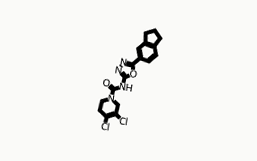 O=C(Nc1nnc(-c2ccc3c(c2)CCC3)o1)N1CCC(Cl)=C(Cl)C1